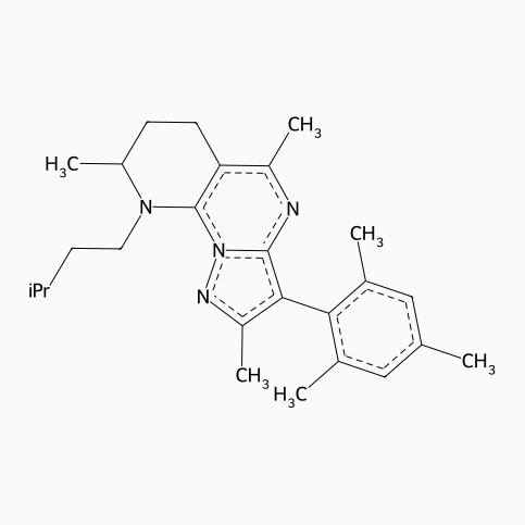 Cc1cc(C)c(-c2c(C)nn3c4c(c(C)nc23)CCC(C)N4CCC(C)C)c(C)c1